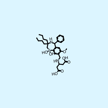 CCCCC1(CCCC)CS(O)(O)c2cc(CNC(CC(=O)O)CC(=O)O)c(OC)cc2C(c2ccccc2)N1